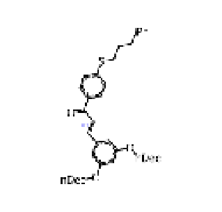 CCCCCCCCCCOc1cc(/C=C/C(=O)c2ccc(SCCCC(C)C)cc2)cc(OCCCCCCCCCC)c1